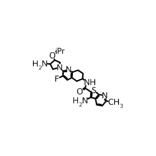 Cc1ccc2c(N)c(C(=O)NC3CCc4nc(N5CC(N)C(OC(C)C)C5)c(F)cc4C3)sc2n1